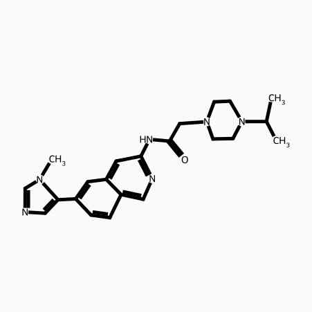 CC(C)N1CCN(CC(=O)Nc2cc3cc(-c4cncn4C)ccc3cn2)CC1